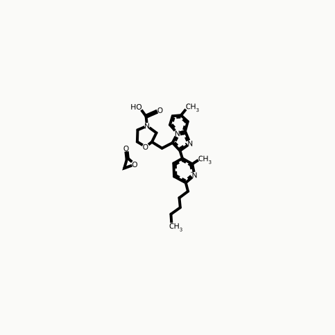 CCCCCc1ccc(-c2nc3cc(C)ccn3c2CC2CN(C(=O)O)CCO2)c(C)n1.O=C1CO1